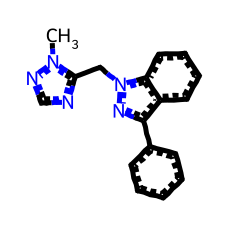 Cn1ncnc1Cn1nc(-c2ccccc2)c2ccccc21